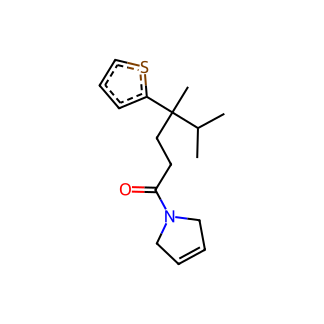 CC(C)C(C)(CCC(=O)N1CC=CC1)c1cccs1